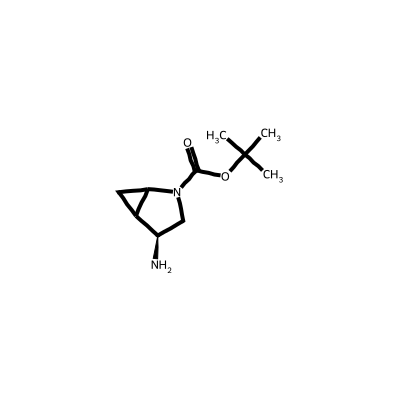 CC(C)(C)OC(=O)N1C[C@@H](N)C2CC21